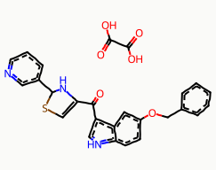 O=C(C1=CSC(c2cccnc2)N1)c1c[nH]c2ccc(OCc3ccccc3)cc12.O=C(O)C(=O)O